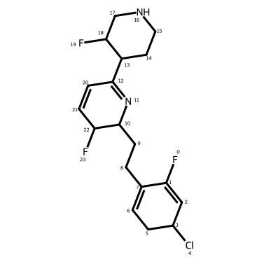 FC1=CC(Cl)CC=C1CCC1N=C(C2CCNCC2F)C=CC1F